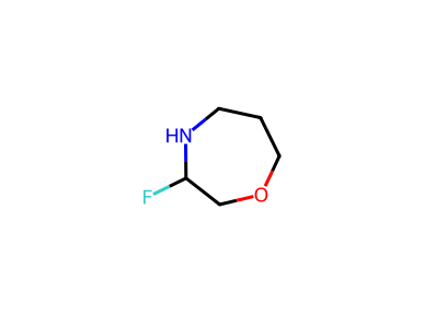 FC1COCCCN1